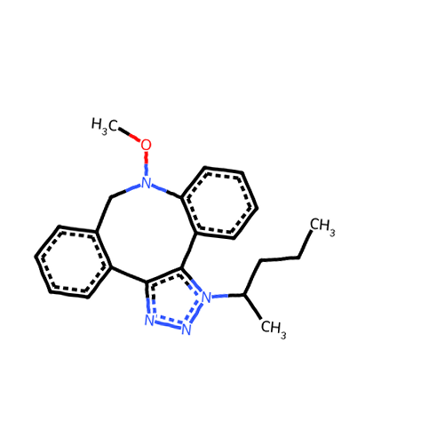 CCCC(C)n1nnc2c1-c1ccccc1N(OC)Cc1ccccc1-2